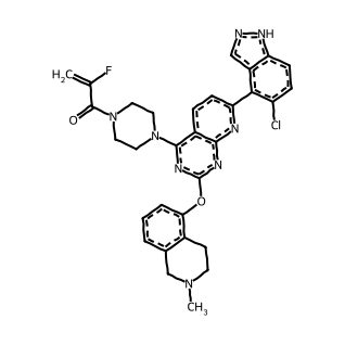 C=C(F)C(=O)N1CCN(c2nc(Oc3cccc4c3CCN(C)C4)nc3nc(-c4c(Cl)ccc5[nH]ncc45)ccc23)CC1